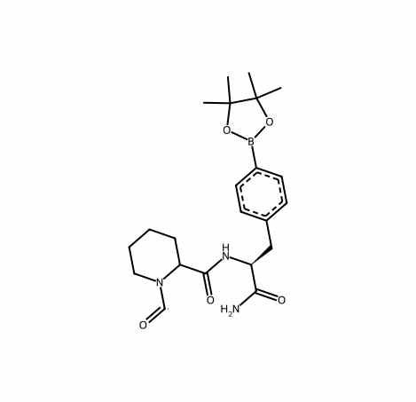 CC1(C)OB(c2ccc(C[C@H](NC(=O)C3CCCCN3[C]=O)C(N)=O)cc2)OC1(C)C